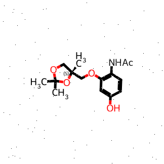 CC(=O)Nc1ccc(O)cc1OC[C@@]1(C)COC(C)(C)O1